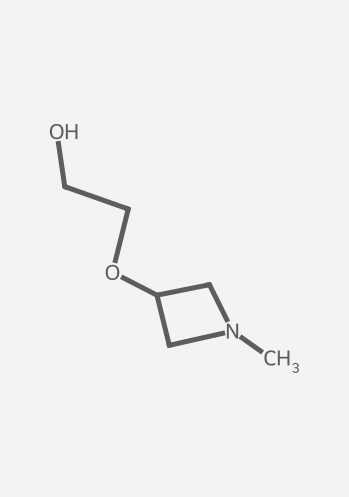 CN1CC(OCCO)C1